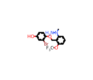 CN(N)c1cccc(OC(F)(F)F)c1COc1ccc(O)cc1Br